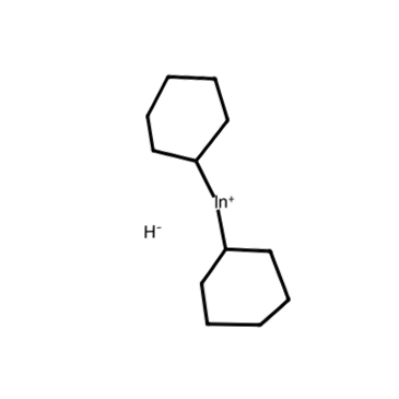 C1CC[CH]([In+][CH]2CCCCC2)CC1.[H-]